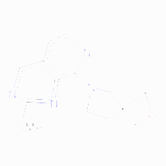 CSc1ncc2ccnc(N3CCC4(COC4)C3)c2n1